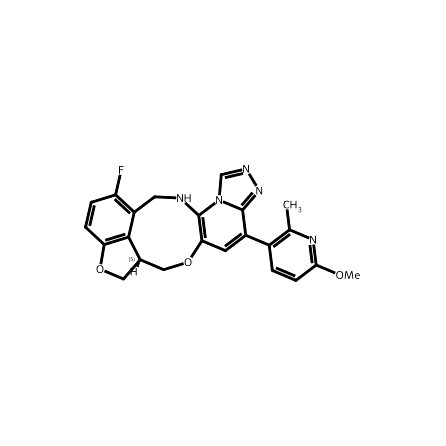 COc1ccc(-c2cc3c(n4cnnc24)NCc2c(F)ccc4c2[C@@H](CO4)CO3)c(C)n1